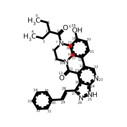 CCC(CC)C(=O)N1CCN(C(=O)c2c(-c3ccc(O)cc3)cnc3[nH]nc(/C=C/c4ccccc4)c23)CC1